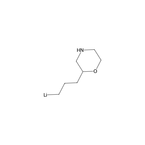 [Li][CH2]CCC1CNCCO1